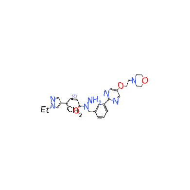 C=C(/C=C\C(=O)N(N)Cc1cccc(-c2ncc(OCCN3CCOCC3)cn2)c1)c1cnn(CC)c1